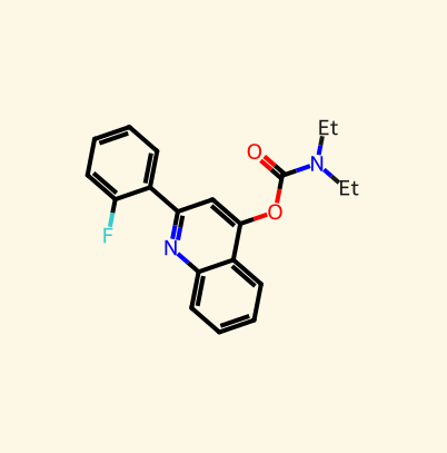 CCN(CC)C(=O)Oc1cc(-c2ccccc2F)nc2ccccc12